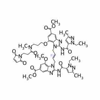 CCn1nc(C)cc1C(=O)Nc1nc2cc(C(=O)OC)cc(OC)c2n1C/C=C/Cn1c(NC(=O)c2cc(C)nn2CC)nc2cc(C(=O)OC)cc(OCCCN(C)C(=O)CCN3C(=O)C=CC3=O)c21